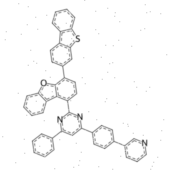 c1ccc(-c2cc(-c3ccc(-c4cccnc4)cc3)nc(-c3ccc(-c4ccc5c(c4)sc4ccccc45)c4oc5ccccc5c34)n2)cc1